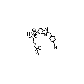 CCOC(=O)CCCCC(C)NS(=O)(=O)c1ccc2c(c1)nc(Cc1ccc(C#N)cc1)n2C